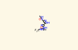 C/C=C/C(=O)NCc1cnc2[nH]cc(-c3cncc(NC(C(=O)NCC(F)(F)F)C(C)C)c3)c2c1